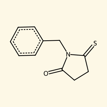 O=C1CCC(=S)N1Cc1ccccc1